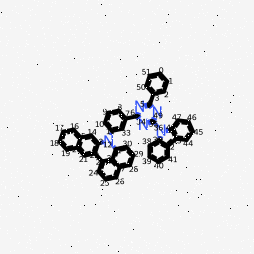 c1ccc(-c2nc(-c3cccc(N4c5cc6ccccc6cc5-c5cccc6cccc4c56)c3)nc(-n3c4ccccc4c4ccccc43)n2)cc1